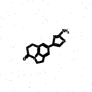 Nc1nc(-c2cc3c4c(c2)CCN4C(=O)CC3)cs1